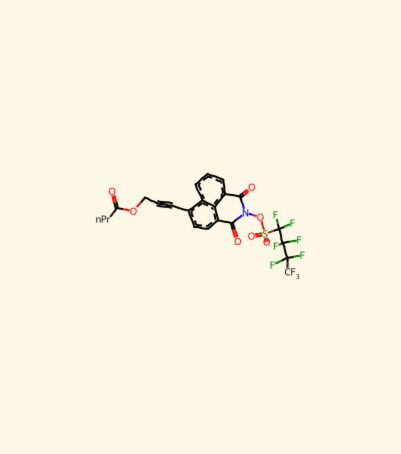 CCCC(=O)OCC#Cc1ccc2c3c(cccc13)C(=O)N(OS(=O)(=O)C(F)(F)C(F)(F)C(F)(F)C(F)(F)F)C2=O